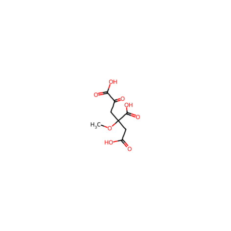 COC(CC(=O)O)(CC(=O)C(=O)O)C(=O)O